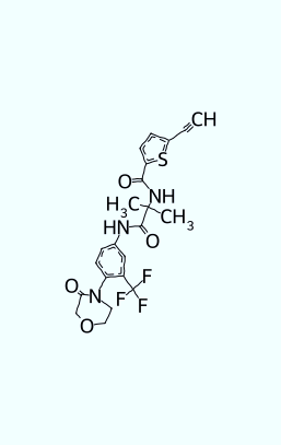 C#Cc1ccc(C(=O)NC(C)(C)C(=O)Nc2ccc(N3CCOCC3=O)c(C(F)(F)F)c2)s1